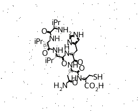 CC(C)[C@H](N)C(=O)N[C@H](C(=O)N[C@H](C(=O)N[C@@H](Cc1c[nH]cn1)C(=O)N[C@@H](CC(N)=O)C(=O)N[C@@H](CS)C(=O)O)C(C)C)C(C)C